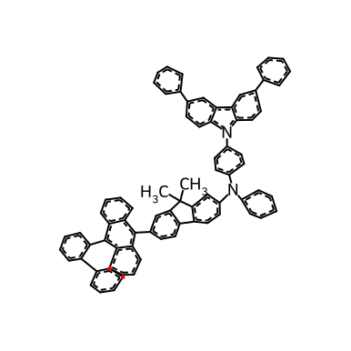 CC1(C)c2cc(-c3c4ccccc4c(-c4ccccc4-c4ccccc4)c4ccccc34)ccc2-c2ccc(N(c3ccccc3)c3ccc(-n4c5ccc(-c6ccccc6)cc5c5cc(-c6ccccc6)ccc54)cc3)cc21